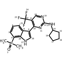 CP(C)(=O)c1cccc2c(-c3nc(NC4CCCC4)ncc3C(F)(F)F)c[nH]c12